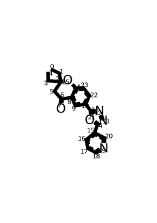 CCC1(CC)CC(=O)c2cc(-c3nnc(-c4cccnc4)o3)ccc2O1